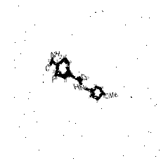 COc1ccc(NC(=O)c2ccc(C(N)=O)c(F)c2)cc1